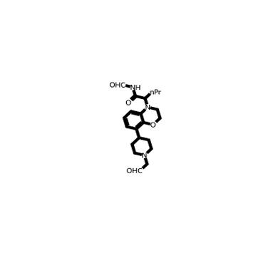 CCCC(C(=O)NC=O)N1CCOc2c(C3CCN(CC=O)CC3)cccc21